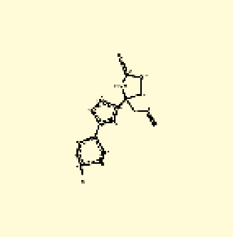 C=CCC1(c2nc(-c3ccc(F)cc3)c[nH]2)COC(=O)N1